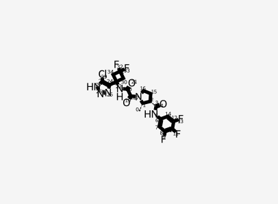 C[C@H]1[C@@H](C(=O)Nc2cc(F)c(F)c(F)c2)CCN1C(=O)C(=O)NC1(c2nn[nH]c2Cl)CC(F)(F)C1